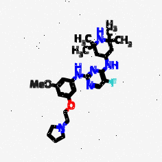 COc1cc(Nc2ncc(F)c(NC3CC(C)(C)NC(C)(C)C3)n2)cc(OCCN2CCCC2)c1